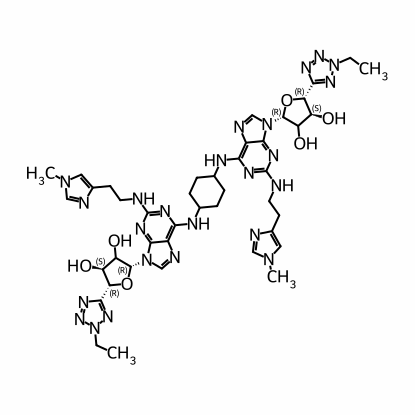 CCn1nnc([C@H]2O[C@@H](n3cnc4c(NC5CCC(Nc6nc(NCCc7cn(C)cn7)nc7c6ncn7[C@@H]6O[C@H](c7nnn(CC)n7)[C@@H](O)C6O)CC5)nc(NCCc5cn(C)cn5)nc43)C(O)[C@@H]2O)n1